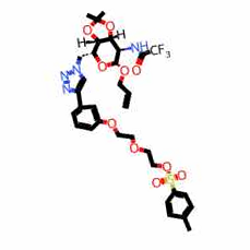 C=CCO[C@H]1O[C@H](Cn2cc(-c3cccc(OCCOCCOS(=O)(=O)c4ccc(C)cc4)c3)nn2)[C@@H]2OC(C)(C)O[C@@H]2[C@H]1NC(=O)C(F)(F)F